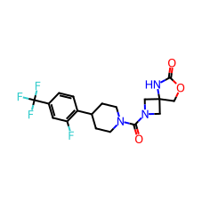 O=C1NC2(CO1)CN(C(=O)N1CCC(c3ccc(C(F)(F)F)cc3F)CC1)C2